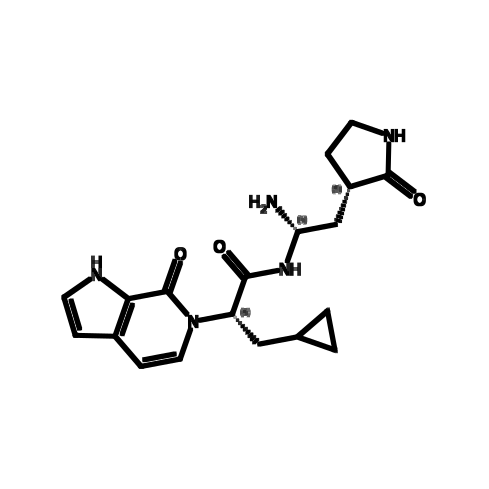 N[C@H](C[C@@H]1CCNC1=O)NC(=O)[C@H](CC1CC1)n1ccc2cc[nH]c2c1=O